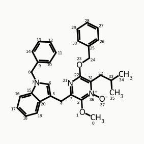 COc1c(Cc2cn(Cc3ccccc3)c3ccccc23)nc(OCc2ccccc2)c(CC(C)C)[n+]1[O-]